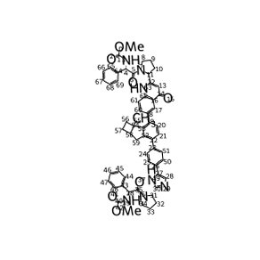 COC(=O)N[C@H](C(=O)N1CCC[C@H]1c1cc(=O)c2cc(-c3ccc(-c4ccc(-c5cnc([C@@H]6CCCN6C(=O)[C@@H](NC(=O)OC)c6ccccc6)[nH]5)cc4)c4c3C3(C)CCC3C4)ccc2[nH]1)c1ccccc1